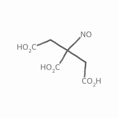 O=NC(CC(=O)O)(CC(=O)O)C(=O)O